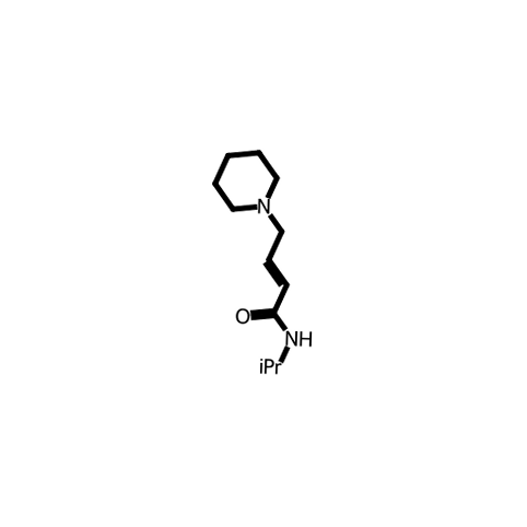 CC(C)NC(=O)/C=C/CN1CCCCC1